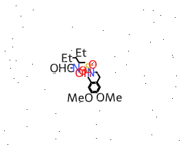 CCC(CC)C(CS(=O)(=O)N1CCc2cc(OC)c(OC)cc2C1)N(O)C=O